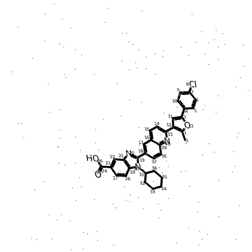 Cc1oc(-c2ccc(Cl)cc2)cc1-c1ccc2cc(-c3nc4cc(C(=O)O)ccc4n3C3CCCCC3)ccc2n1